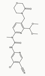 COC(OC)c1nc(N(C)C(=O)Nc2cc(Cl)c(C#N)cn2)ccc1CN1CCOCC1=O